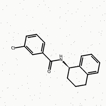 O=C(N[C@@H]1CCCc2ccccc21)c1cccc(Cl)c1